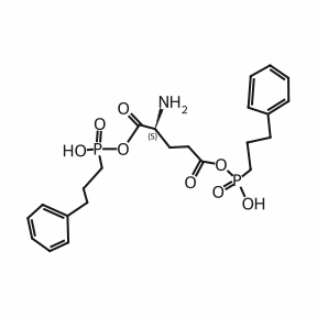 N[C@@H](CCC(=O)OP(=O)(O)CCCc1ccccc1)C(=O)OP(=O)(O)CCCc1ccccc1